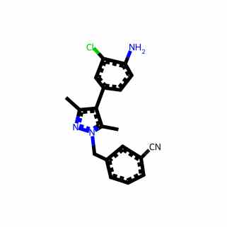 Cc1nn(Cc2cccc(C#N)c2)c(C)c1-c1ccc(N)c(Cl)c1